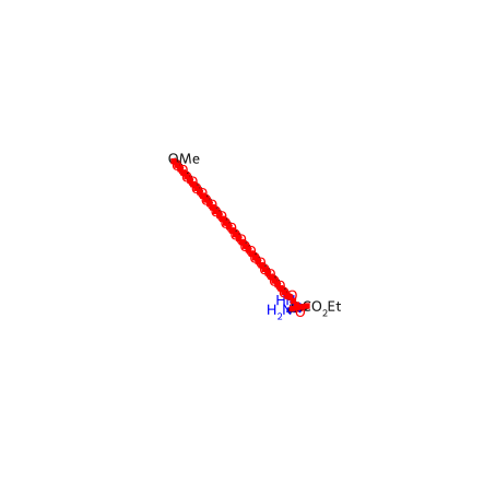 CCOC(=O)CCC(=O)N(CCCN)CCCNC(=O)CCOCCOCCOCCOCCOCCOCCOCCOCCOCCOCCOCCOCCOCCOCCOCCOCCOCCOCCOCCOCCOCCOCCOCCOC